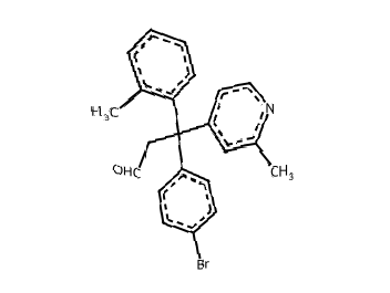 Cc1cc(C(CC=O)(c2ccc(Br)cc2)c2ccccc2C)ccn1